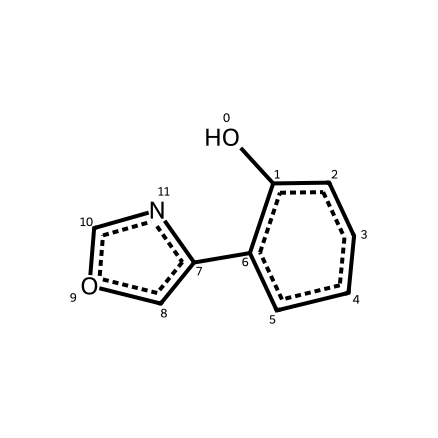 Oc1ccccc1-c1cocn1